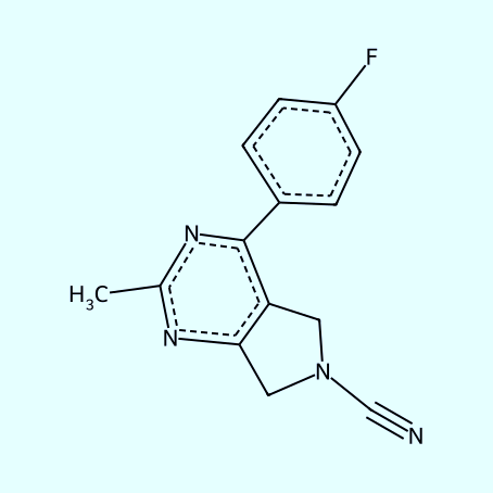 Cc1nc2c(c(-c3ccc(F)cc3)n1)CN(C#N)C2